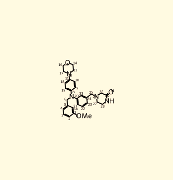 COc1cccc(CN(c2ccc(N3CCOCC3)cc2)c2cccc(CN3CCNC(=O)C3)c2)c1